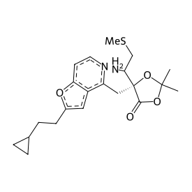 CSCC(N)[C@@]1(Cc2nccc3oc(CCC4CC4)cc23)OC(C)(C)OC1=O